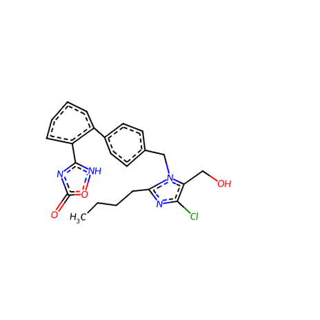 CCCCc1nc(Cl)c(CO)n1Cc1ccc(-c2ccccc2-c2nc(=O)o[nH]2)cc1